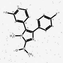 Cn1c([S+](C)[O-])nc(-c2ccc(F)cc2)c1-c1ccnc(F)c1